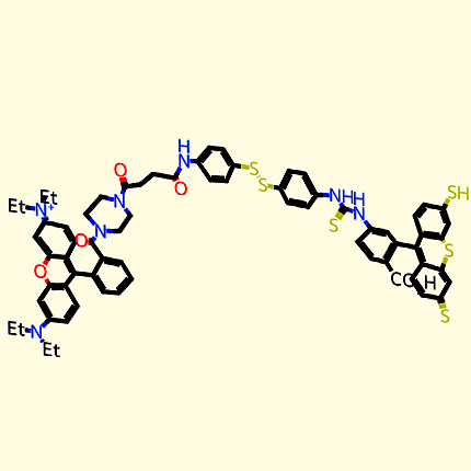 CCN(CC)c1ccc2c(-c3ccccc3C(=O)N3CCN(C(=O)CCC(=O)Nc4ccc(SSc5ccc(NC(=S)Nc6ccc(C(=O)O)c(-c7c8ccc(=S)cc-8sc8cc(S)ccc78)c6)cc5)cc4)CC3)c3ccc(=[N+](CC)CC)cc-3oc2c1